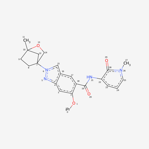 CC(C)Oc1cc2nn(C34CCC(C)(C3)OC4)cc2cc1C(=O)Nc1cccn(C)c1=O